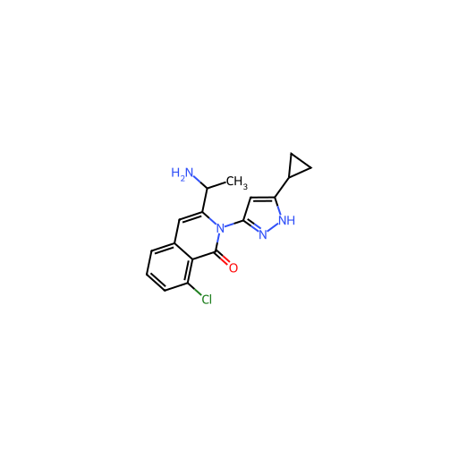 CC(N)c1cc2cccc(Cl)c2c(=O)n1-c1cc(C2CC2)[nH]n1